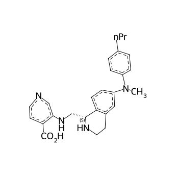 CCCc1ccc(N(C)c2ccc3c(c2)CCN[C@@H]3CNc2cnccc2C(=O)O)cc1